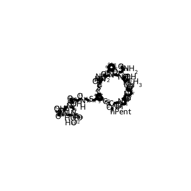 CCCCCC(=O)N[C@H]1CSCc2cc(CSCCNC(=O)CCP(=O)(O)CN3CCN(CP(=O)(O)CO)CCN(CP(=O)(O)CO)CC3)cc(c2)CSCC(C(N)=O)NC(=O)[C@H](Cc2ccccc2)NC(=O)[C@H](CCC(N)=O)NC(=O)[C@H]([C@@H](C)O)NC(=O)[C@@H]2CCCN2C(=O)[C@@H]2CCCN2C1=O